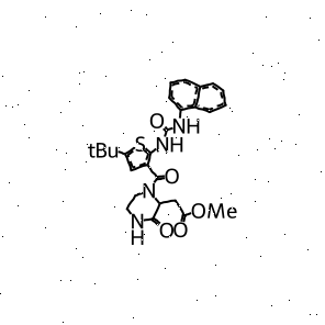 COC(=O)CC1C(=O)NCCN1C(=O)c1cc(C(C)(C)C)sc1NC(=O)Nc1cccc2ccccc12